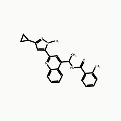 Cc1ccccc1C(=O)NC(C)c1cc(-c2cc(C3CC3)nn2C)nc2ccccc12